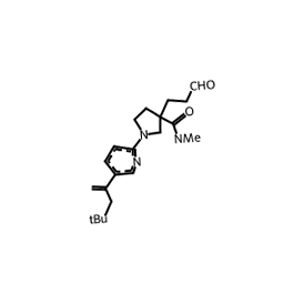 C=C(CC(C)(C)C)c1ccc(N2CCC(CCC=O)(C(=O)NC)C2)nc1